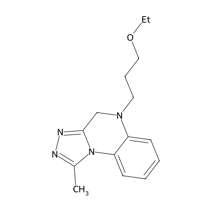 CCOCCCN1Cc2nnc(C)n2-c2ccccc21